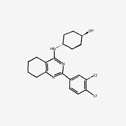 O[C@H]1CC[C@H](Nc2nc(-c3ccc(Cl)c(Cl)c3)nc3c2CCCC3)CC1